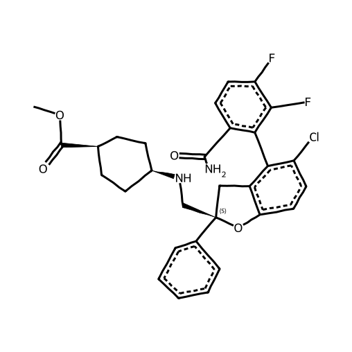 COC(=O)[C@H]1CC[C@@H](NC[C@@]2(c3ccccc3)Cc3c(ccc(Cl)c3-c3c(C(N)=O)ccc(F)c3F)O2)CC1